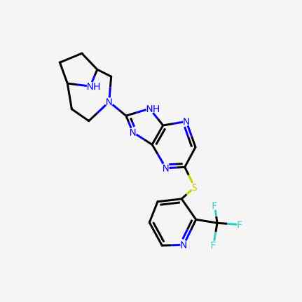 FC(F)(F)c1ncccc1Sc1cnc2[nH]c(N3CCC4CCC(C3)N4)nc2n1